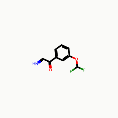 N=CC(=O)c1cccc(OC(F)F)c1